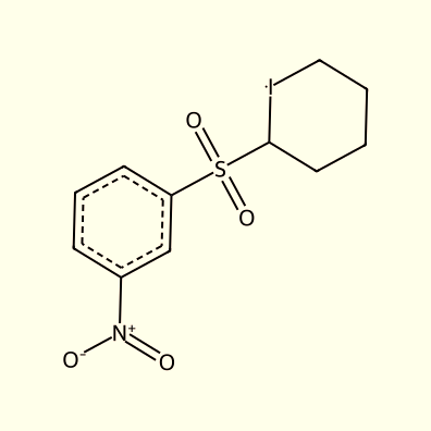 O=[N+]([O-])c1cccc(S(=O)(=O)C2CCCC[I]2)c1